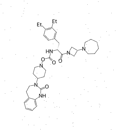 CCc1ccc(C[C@@H](NC(=O)ON2CCC(N3CCc4ccccc4NC3=O)CC2)C(=O)N2CC(N3CCCCCC3)C2)cc1CC